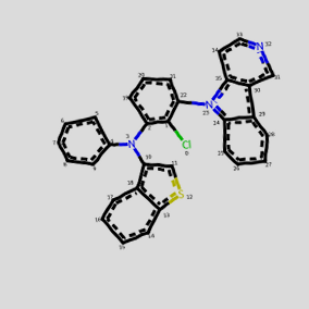 Clc1c(N(c2ccccc2)c2csc3ccccc23)cccc1-n1c2ccccc2c2cnccc21